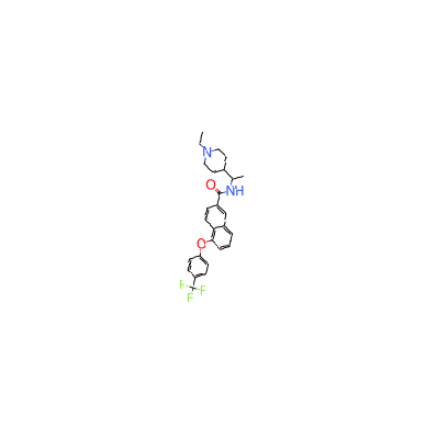 CCN1CCC(C(C)NC(=O)c2ccc3c(Oc4ccc(C(F)(F)F)cc4)cccc3c2)CC1